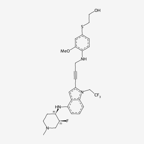 COc1cc(SCCO)ccc1NCC#Cc1cc2c(N[C@@H]3CCN(C)C[C@@H]3F)cccc2n1CC(F)(F)F